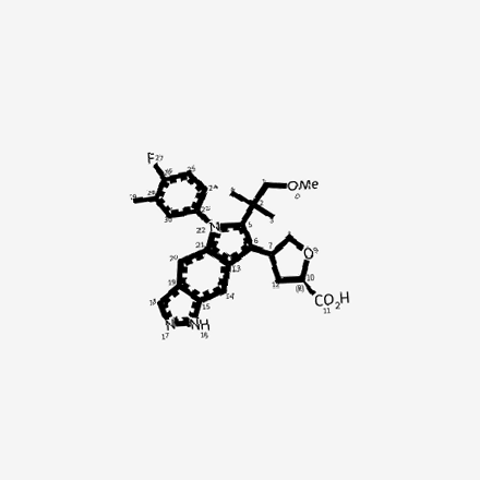 COCC(C)(C)c1c(C2CO[C@@H](C(=O)O)C2)c2cc3[nH]ncc3cc2n1-c1ccc(F)c(C)c1